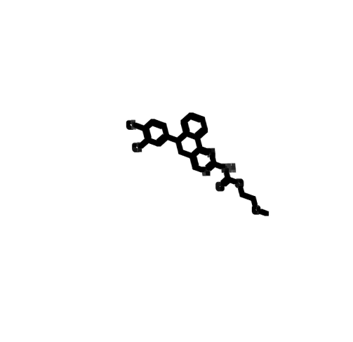 COCCOC(=O)Nc1ncc2c(n1)-c1ccccc1C(c1ccc(Cl)c(Cl)c1)C2